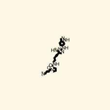 CNc1nc(Nc2ccc3cn[nH]c3c2)ncc1C#CCCCNC(=O)[C@@H]1CCCN1C(=O)/C=C/CN(C)C